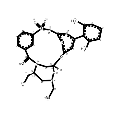 Cc1cccc(C)c1-c1cc2nc(n1)NS(=O)(=O)c1cccc(c1)C(=O)N1C[C@@H](CN(CC(C)(C)C)C[C@H]1CC(C)C)O2